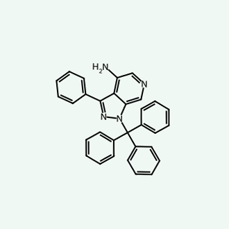 Nc1cncc2c1c(-c1ccccc1)nn2C(c1ccccc1)(c1ccccc1)c1ccccc1